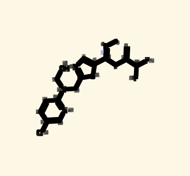 C=C(C/C(=N\C)c1cnc(CN(CO)c2ccc(Cl)cn2)s1)C(F)F